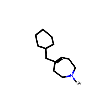 CC(C)N1CCC=C(CC2CCCCC2)CC1